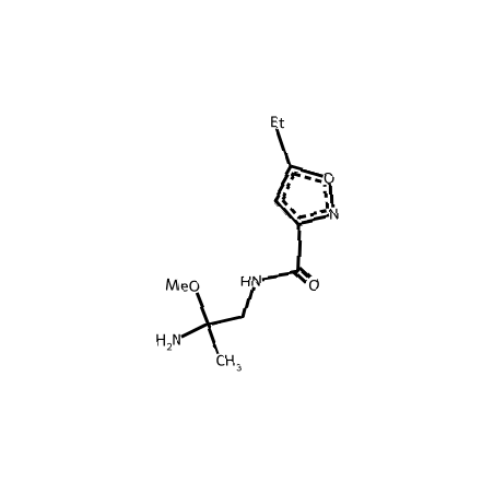 CCc1cc(C(=O)NCC(C)(N)OC)no1